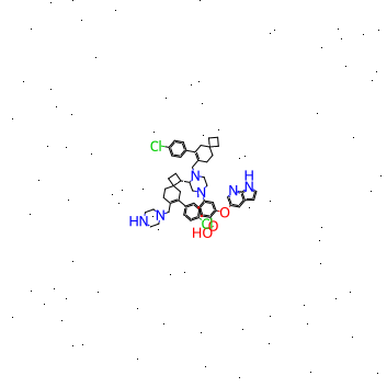 OOc1ccc(N2CCN(CC3=C(c4ccc(Cl)cc4)CC4(CCC4)CC3)C(C3CCC34CCC(CN3CCNCC3)=C(c3ccc(Cl)cc3)C4)C2)cc1Oc1cnc2[nH]ccc2c1